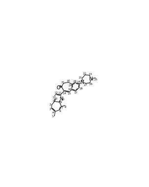 C=C1CC=C(C)C=C(C)/C1=N/C(=C\C)C1=Cc2ccc(N3CCCN(C)CC3)cc2CCC1=O